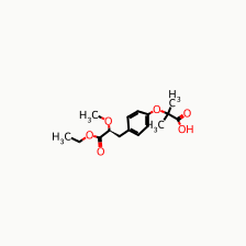 CCOC(=O)[C@H](Cc1ccc(OC(C)(C)C(=O)O)cc1)OC